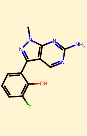 Cn1nc(-c2cccc(F)c2O)c2cnc(N)nc21